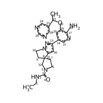 CCNC(=O)N1CC[C@]2(CCn3nc(-c4cnc(N)c(OC(C)c5cncnc5)c4)cc32)C1